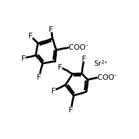 O=C([O-])c1cc(F)c(F)c(F)c1F.O=C([O-])c1cc(F)c(F)c(F)c1F.[Sr+2]